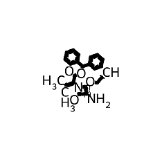 C#CCO[C@H]1[C@@H](N)C(=O)N1C(C(=O)OC(c1ccccc1)c1ccccc1)=C(C)C